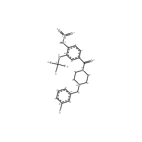 O=C(c1ccc(N[SH](=O)=O)c(OC(F)(F)F)c1)N1CCN(Cc2cccc(F)c2)CC1